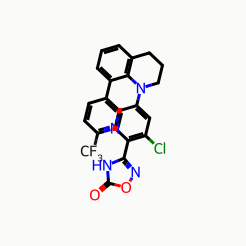 O=c1[nH]c(-c2ccc(N3CCCc4cccc(-c5ccc(C(F)(F)F)nc5)c43)cc2Cl)no1